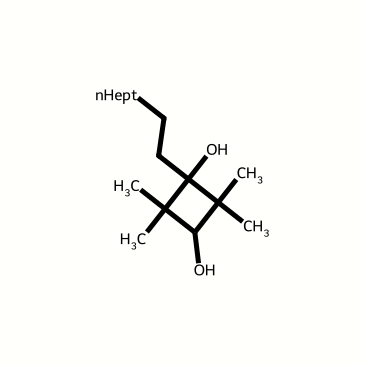 CCCCCCCCCC1(O)C(C)(C)C(O)C1(C)C